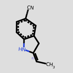 C/C=C1\Cc2cc(C#N)ccc2N1